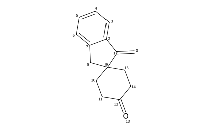 C=C1c2ccccc2CC12CCC(=O)CC2